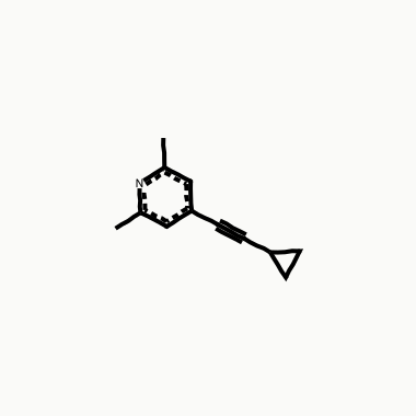 Cc1cc(C#CC2CC2)cc(C)n1